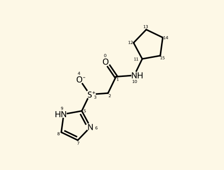 O=C(C[S+]([O-])c1ncc[nH]1)NC1CCCC1